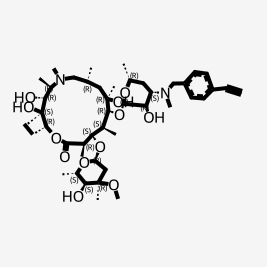 C#Cc1ccc(CN(C)[C@H]2C[C@@H](C)O[C@@H](O[C@@H]3[C@@H](C)[C@H](O[C@H]4C[C@@](C)(OC)[C@@H](O)[C@H](C)O4)[C@@H](C)C(=O)O[C@H](CC)[C@@](C)(O)[C@H](O)[C@@H](C)N(C)C[C@H](C)C[C@@]3(C)O)[C@@H]2O)cc1